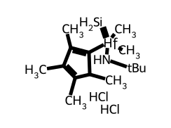 CC1=C(C)C(C)[C]([Hf]([CH3])([CH3])(=[SiH2])[NH]C(C)(C)C)=C1C.Cl.Cl